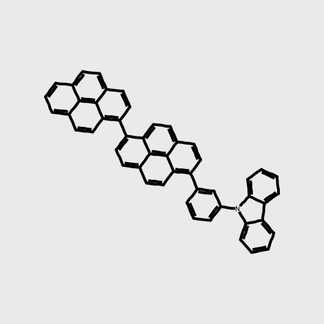 c1cc(-c2ccc3ccc4c(-c5ccc6ccc7cccc8ccc5c6c78)ccc5ccc2c3c54)cc(-n2c3ccccc3c3ccccc32)c1